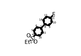 CCS(=O)(=O)c1ccc(-c2ccc(F)cc2)cc1